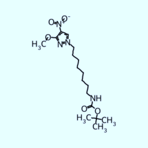 COc1nn(CCCCCCCCNC(=O)OC(C)(C)C)cc1[N+](=O)[O-]